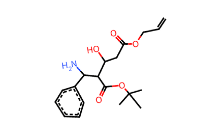 C=CCOC(=O)CC(O)C(C(=O)OC(C)(C)C)C(N)c1ccccc1